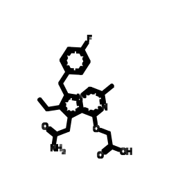 CCc1c(CC(N)=O)c2c(OCC(=O)O)nc(C)cn2c1Cc1ccc(F)cc1